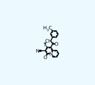 CSc1c(C#N)c(=O)n2ccccc2c1C(=O)Cc1cccc(C)c1